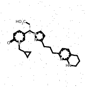 O=C(O)C[C@@H](c1ccc(=O)n(CC2CC2)c1)n1ccc(CCCc2ccc3c(n2)NCCC3)n1